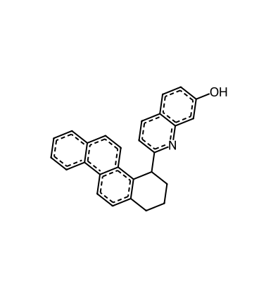 Oc1ccc2ccc(C3CCCc4ccc5c(ccc6ccccc65)c43)nc2c1